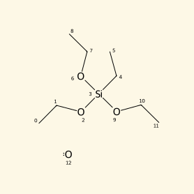 CCO[Si](CC)(OCC)OCC.[O]